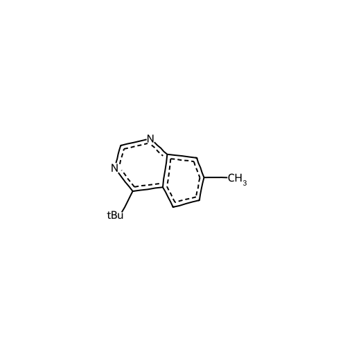 Cc1ccc2c(C(C)(C)C)ncnc2c1